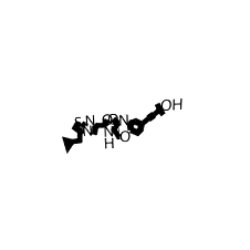 CN1C(=O)[C@@H](NC(=O)c2cn3c(CC4CC4)csc3n2)COc2ccc(C#CC(C)(C)O)cc21